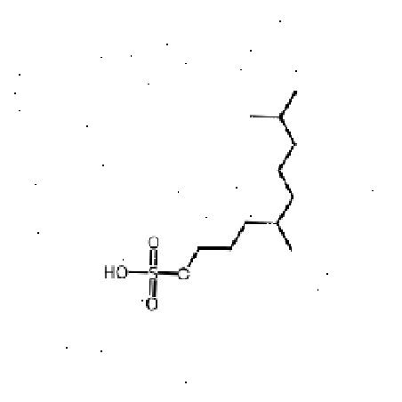 CC(C)CCCC(C)CCCOS(=O)(=O)O